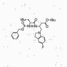 CC(C)(C)C[C@H](NC(=O)OCc1ccccc1)C(=O)NC(CC(=O)OC(C)(C)C)CN1CCc2cc(F)ccc21